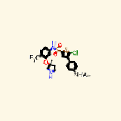 CC(=O)Nc1ccc(-c2cc(S(=O)(=O)Nc3ccc(C(F)(F)F)c(O[C@]4(C)CCNC4)c3)sc2Cl)cc1